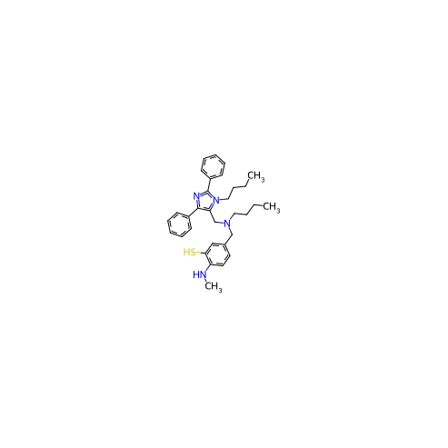 CCCCN(Cc1ccc(NC)c(S)c1)Cc1c(-c2ccccc2)nc(-c2ccccc2)n1CCCC